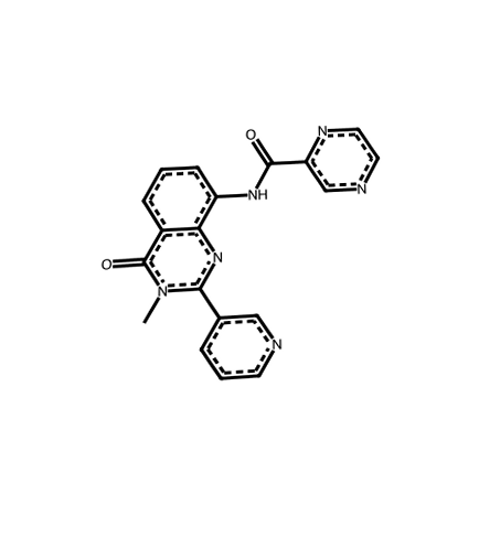 Cn1c(-c2cccnc2)nc2c(NC(=O)c3cnccn3)cccc2c1=O